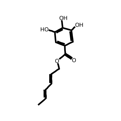 CC=CC=CCOC(=O)c1cc(O)c(O)c(O)c1